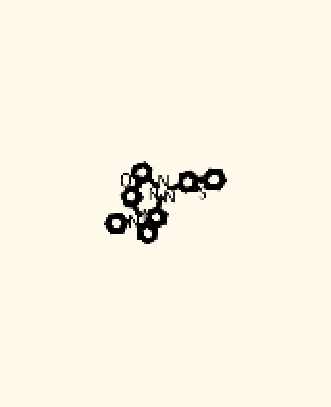 c1ccc(-c2nc(-c3ccc4c(c3)sc3ccccc34)nc(-c3cccc4oc5ccc(-c6nc7ccccc7n6-c6ccccc6)cc5c34)n2)cc1